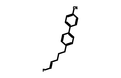 N#Cc1ccc(-c2ccc(CCCC=CF)cc2)cc1